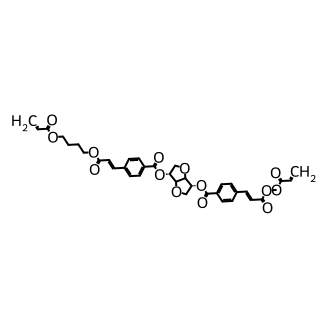 C=CC(=O)OCCCCOC(=O)/C=C/c1ccc(C(=O)O[C@@H]2COC3C2OC[C@H]3OC(=O)c2ccc(/C=C/C(=O)OOC(=O)C=C)cc2)cc1